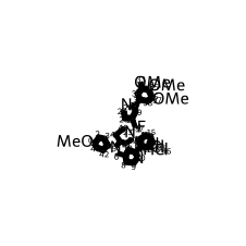 COc1ccc(N(Cc2ccnc(-c3cccc(F)c3)c2)C2CCN(Cc3ccnc(-c4cc(OC)c(OC)c(OC)c4)c3)CC2)cc1.Cl.Cl.Cl